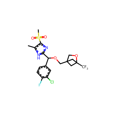 Cc1[nH]c(C(OCC23COC(C(F)(F)F)(C2)C3)c2ccc(F)c(Cl)c2)nc1S(C)(=O)=O